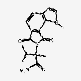 CC(C)C(C)(C(N)=O)N1C(=O)c2ccc3ccn(C)c3c2C1=O